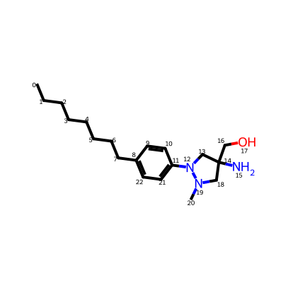 CCCCCCCCc1ccc(N2CC(N)(CO)CN2C)cc1